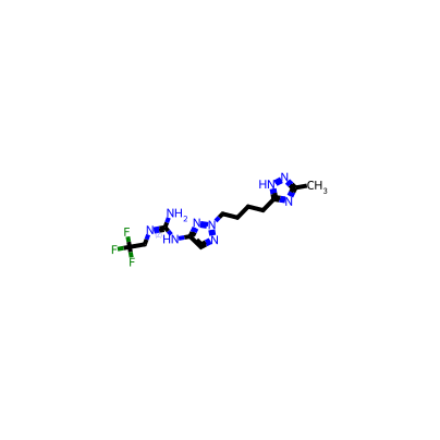 Cc1n[nH]c(CCCCn2ncc(N/C(N)=N\CC(F)(F)F)n2)n1